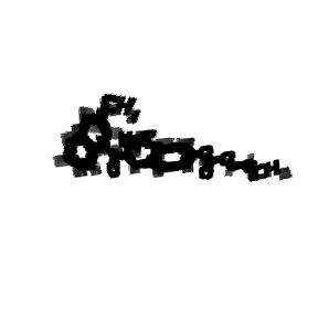 C=CCOC(=O)Oc1ccc(C[C@@H](N)C(=O)N2CC(C)Cc3ccccc32)c(C)c1